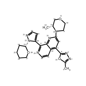 Cc1nnc(-c2cc(N3CCOC[C@H]3C)nc3c(-c4ccnn4[C@H]4CCCCO4)nccc23)o1